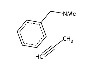 C#CC.CNCc1ccccc1